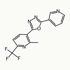 Cc1nc(C(F)(F)F)ccc1-c1nnc(-c2cccnc2)o1